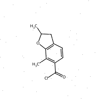 Cc1c(C(=O)Cl)ccc2c1OC(C)C2